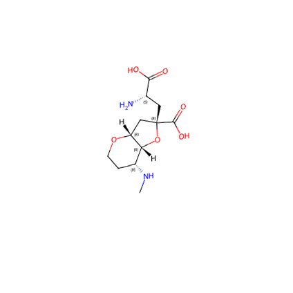 CN[C@@H]1CCO[C@@H]2C[C@](C[C@H](N)C(=O)O)(C(=O)O)O[C@H]12